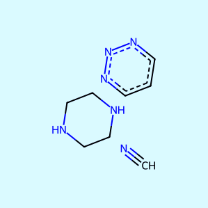 C#N.C1CNCCN1.c1cnnnc1